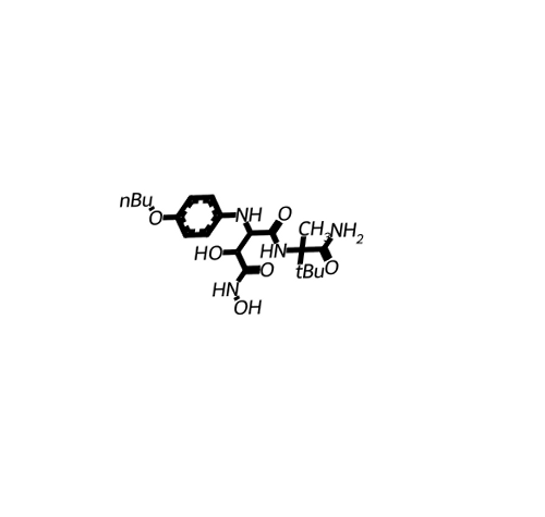 CCCCOc1ccc(NC(C(=O)NC(C)(C(N)=O)C(C)(C)C)C(O)C(=O)NO)cc1